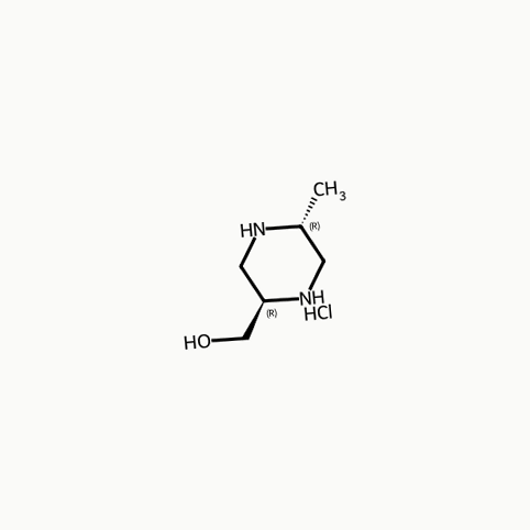 C[C@@H]1CN[C@@H](CO)CN1.Cl